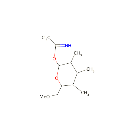 COCC1OC(OC(=N)C(Cl)(Cl)Cl)C(C)C(C)C1C